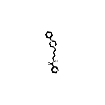 O=C(NCCCCN1CCN(c2ccccc2)CC1)c1cccnc1